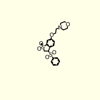 O=S1(=O)CC(S(=O)(=O)c2ccccc2)c2ccc(OCCN3CCOCC3)cc21